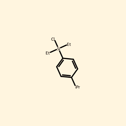 CC[Si](Cl)(CC)c1ccc(C(C)C)cc1